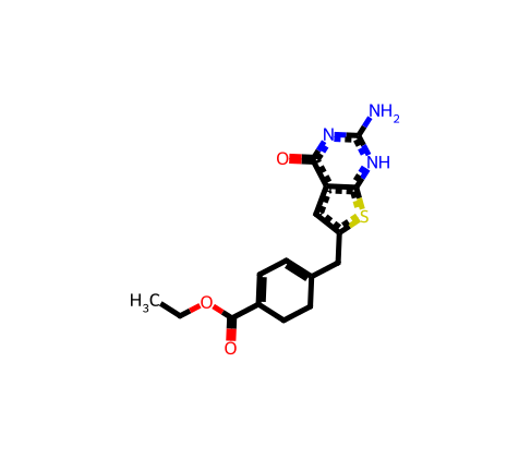 CCOC(=O)C1=CC=C(Cc2cc3c(=O)nc(N)[nH]c3s2)CC1